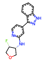 F[C@H]1COC[C@H]1Nc1cc(-c2n[nH]c3ccccc23)ccn1